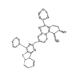 N=C1C=Cc2c(-c3ccccc3)nc3cc(-c4nc(-c5ccccc5)c5c(n4)C4C=CC=CC4S5)ccc3c2C1=N